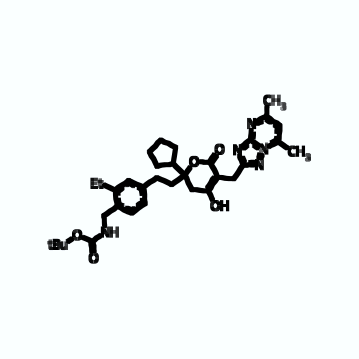 CCc1cc(CCC2(C3CCCC3)CC(O)=C(Cc3nc4nc(C)cc(C)n4n3)C(=O)O2)ccc1CNC(=O)OC(C)(C)C